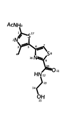 CC(=O)Nc1nc(C)c(-c2csc(C(=O)NCCO)n2)s1